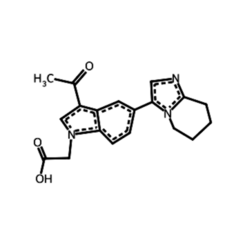 CC(=O)c1cn(CC(=O)O)c2ccc(-c3cnc4n3CCCC4)cc12